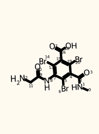 CNC(=O)c1c(Br)c(NC(=O)CN)c(Br)c(C(=O)O)c1Br